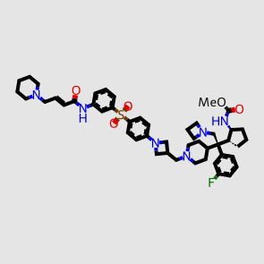 COC(=O)N[C@H]1CCC[C@@H]1[C@](CN1CCC1)(c1cccc(F)c1)C1CCN(CC2CN(c3ccc(S(=O)(=O)c4cccc(NC(=O)/C=C/CN5CCCCC5)c4)cc3)C2)CC1